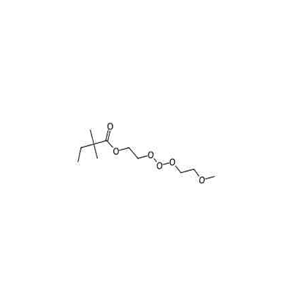 CCC(C)(C)C(=O)OCCOOOCCOC